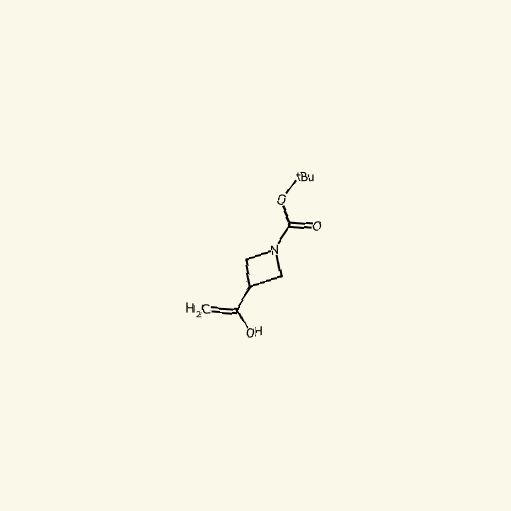 C=C(O)C1CN(C(=O)OC(C)(C)C)C1